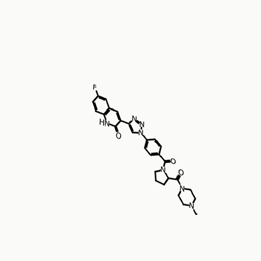 CN1CCN(C(=O)C2CCCN2C(=O)c2ccc(-n3cc(-c4cc5cc(F)ccc5[nH]c4=O)nn3)cc2)CC1